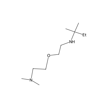 CCC(C)(C)NCCOCCN(C)C